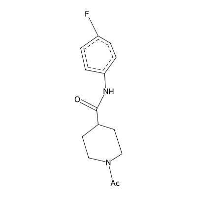 CC(=O)N1CCC(C(=O)Nc2ccc(F)cc2)CC1